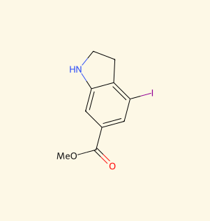 COC(=O)c1cc(I)c2c(c1)NCC2